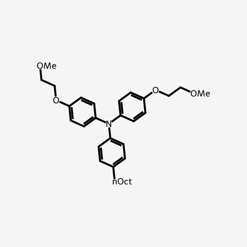 CCCCCCCCc1ccc(N(c2ccc(OCCOC)cc2)c2ccc(OCCOC)cc2)cc1